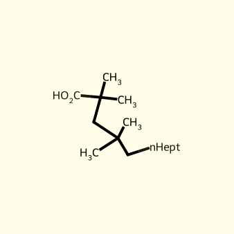 CCCCCCCCC(C)(C)CC(C)(C)C(=O)O